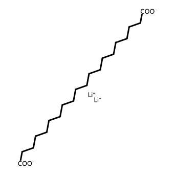 O=C([O-])CCCCCCCCCCCCCCCCCCC(=O)[O-].[Li+].[Li+]